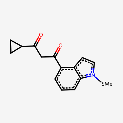 CSn1ccc2c(C(=O)CC(=O)C3CC3)cccc21